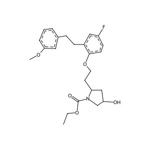 CCOC(=O)N1CC(O)CC1CCOc1ccc(F)cc1CCc1cccc(OC)c1